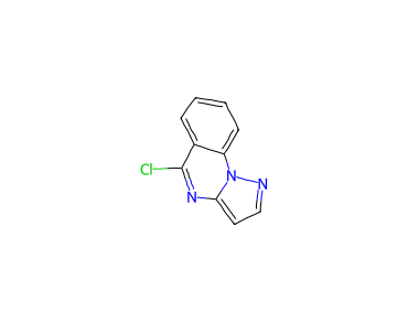 Clc1nc2ccnn2c2ccccc12